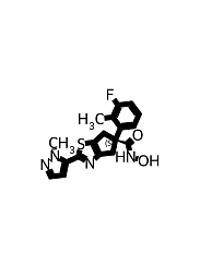 Cc1c(F)cccc1[C@]1(C(=O)NO)Cc2nc(-c3ccnn3C)sc2C1